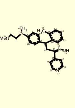 COCCN(C)c1ccc(C(CC(=NO)c2ccncc2)c2ccccc2C)cc1